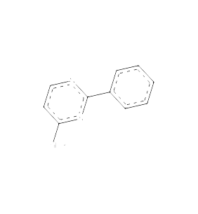 CCCCCc1ccnc(-c2ccccc2)n1